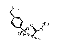 CC(C)[C@@H](NS(=O)(=O)c1ccc(CN)cc1)C(=O)OC(C)(C)C